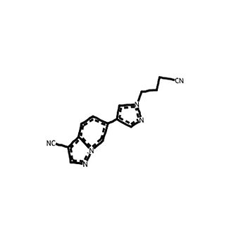 N#CCCCn1cc(-c2ccc3c(C#N)cnn3c2)cn1